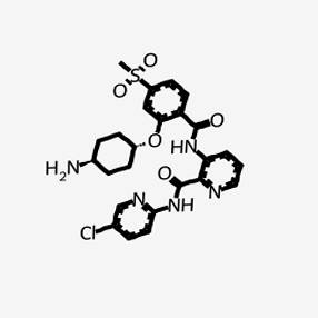 CS(=O)(=O)c1ccc(C(=O)Nc2cccnc2C(=O)Nc2ccc(Cl)cn2)c(O[C@H]2CC[C@H](N)CC2)c1